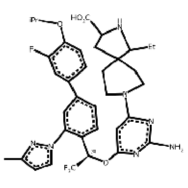 CCC1NC(C(=O)O)CC12CCN(c1cc(O[C@H](c3ccc(-c4ccc(OC(C)C)c(F)c4)cc3-n3ccc(C)n3)C(F)(F)F)nc(N)n1)CC2